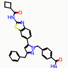 O=C(NO)c1ccc(Cn2nc(Cc3ccccc3)cc2-c2ccc3nc(NC(=O)C4CCC4)sc3c2)cc1